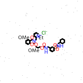 CC[n+]1ccccc1CN(C(=O)OCC(COC(=O)NCc1cccc(S(=O)(=O)NCC2CCCCC2)c1)OC)C(=O)c1ccccc1OC.[Cl-]